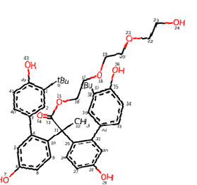 CC(C)(C)c1cc(-c2cc(O)ccc2C(C)(C(=O)OCCOCCOCCO)c2ccc(O)cc2-c2ccc(O)c(C(C)(C)C)c2)ccc1O